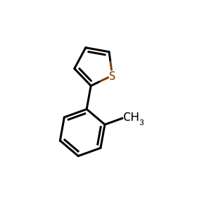 Cc1ccccc1-c1cccs1